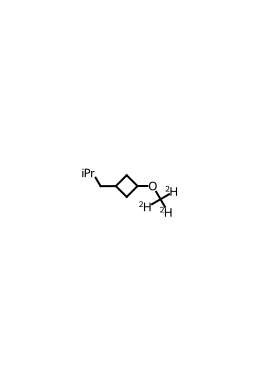 [2H]C([2H])([2H])OC1CC(CC(C)C)C1